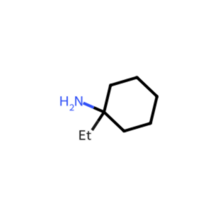 CCC1(N)CCCCC1